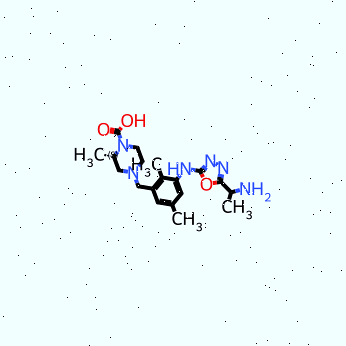 Cc1cc(CN2CCN(C(=O)O)[C@@H](C)C2)c(C)c(Nc2nnc(C(C)N)o2)c1